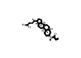 C=CC(=O)N(C)[C@H]1CC[C@@]2(C)[C@@H](CC[C@@H]3[C@@H]2CC[C@]2(C)C([C@H](C)CC[C@@H](CC)C(C)C)CC[C@@H]32)C1